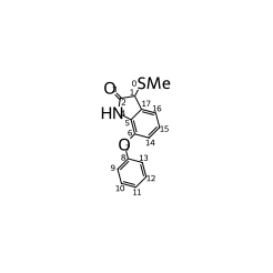 CSC1C(=O)Nc2c(Oc3ccccc3)cccc21